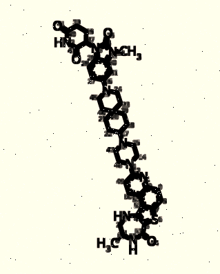 C[C@@H]1CNc2c(sc3ccc4nc(N5CCN(C6CCC7(CC6)CCN(c6ccc8c(c6)n(C)c(=O)n8C6CCC(=O)NC6=O)CC7)CC5)ccc4c23)C(=O)N1